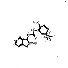 COc1ccc(S(F)(F)(F)(F)F)cc1NC(=O)NC1c2ccccc2CC1O